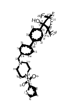 O=S(=O)(c1cccs1)N1CCN(Cc2ccc(-c3ccc(C(O)(C(F)(F)F)C(F)(F)F)cc3)cc2)CC1